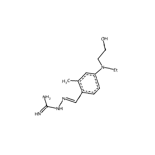 CCN(CCO)c1ccc(C=NNC(=N)N)c(C)c1